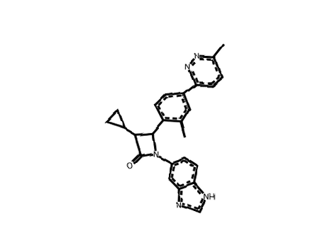 Cc1ccc(-c2ccc(C3C(C4CC4)C(=O)N3c3ccc4[nH]cnc4c3)c(C)c2)nn1